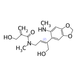 C=C(CO)C(=O)N(C)C/C=C(\CO)c1cc2c(cc1NC)OCO2